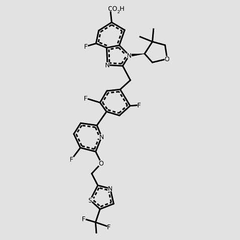 CC(F)(F)c1cnc(COc2nc(-c3cc(F)c(Cc4nc5c(F)cc(C(=O)O)cc5n4[C@@H]4COCC4(C)C)cc3F)ccc2F)s1